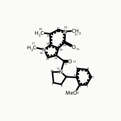 COc1ccccc1C1CCCN1C(=O)c1cn(C)c2c(C)cn(C)c(=O)c12